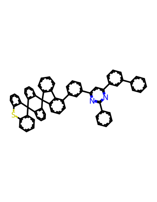 c1ccc(-c2cccc(-c3cc(-c4cccc(-c5cccc6c5-c5ccccc5C65c6ccccc6C6(c7ccccc7Sc7ccccc76)c6ccccc65)c4)nc(-c4ccccc4)n3)c2)cc1